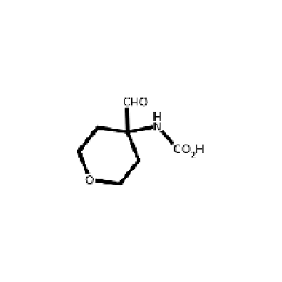 O=CC1(NC(=O)O)CCOCC1